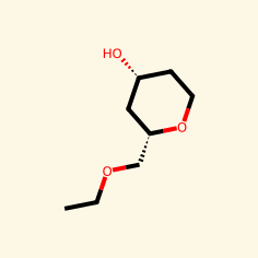 CCOC[C@@H]1C[C@H](O)CCO1